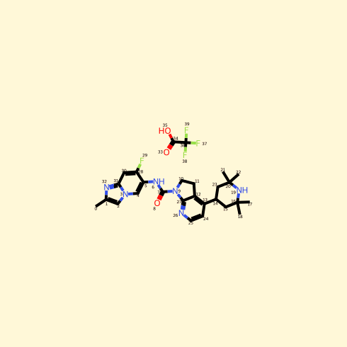 Cc1cn2cc(NC(=O)N3CCc4c(C5CC(C)(C)NC(C)(C)C5)ccnc43)c(F)cc2n1.O=C(O)C(F)(F)F